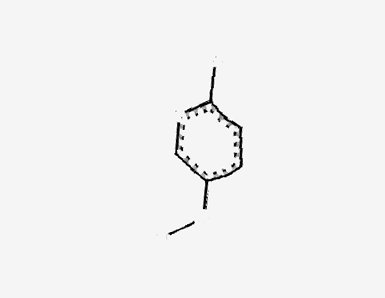 CC(=O)c1ccc(OC(C)(C)C)cn1